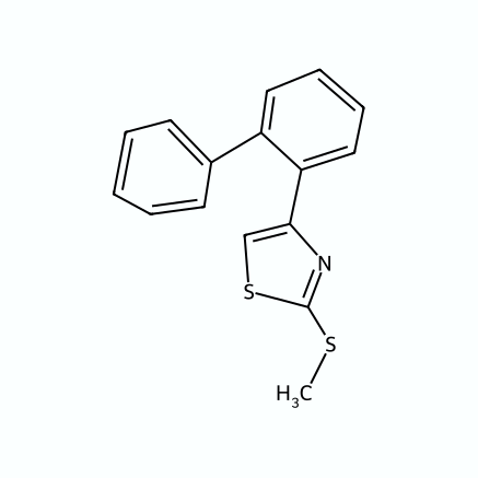 CSc1nc(-c2ccccc2-c2ccccc2)cs1